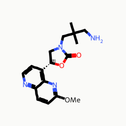 COc1ccc2nccc([C@@H]3CN(CC(C)(C)CN)C(=O)O3)c2n1